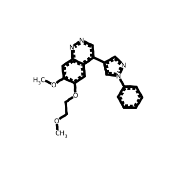 COCCOc1cc2c(-c3cnn(-c4ccccc4)c3)cnnc2cc1OC